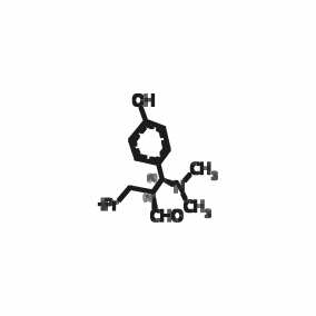 C[C](C)C[C@H](C=O)[C@@H](c1ccc(O)cc1)N(C)C